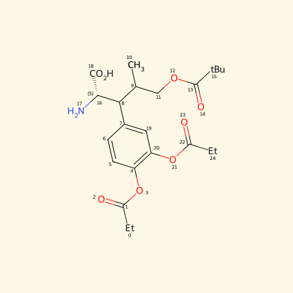 CCC(=O)Oc1ccc(C(C(C)COC(=O)C(C)(C)C)[C@H](N)C(=O)O)cc1OC(=O)CC